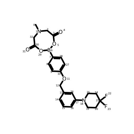 CN1CC(=O)OB(c2ccc(OCc3cccc(N4CCC(F)(F)CC4)c3)cc2)OC(=O)C1